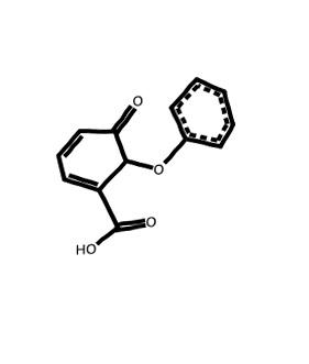 O=C(O)C1=CC=CC(=O)C1Oc1ccccc1